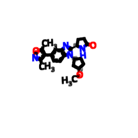 CO[C@@H]1CC[C@@H](n2c([C@@H]3CCC(=O)N3)nc3cc(-c4c(C)noc4C)ccc32)C1